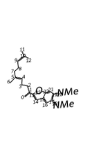 C=C(CC/C=C(\C)CCC=C(C)C)c1cc2cc(NC)c(NC)cc2o1